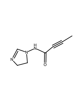 CC#CC(=O)NN1C=NCC1